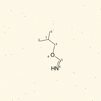 CC(C)CO[C]=N